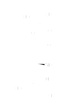 CCC(C)(C)C(=O)[C@H](N)CC(=O)OC(C)(C)C